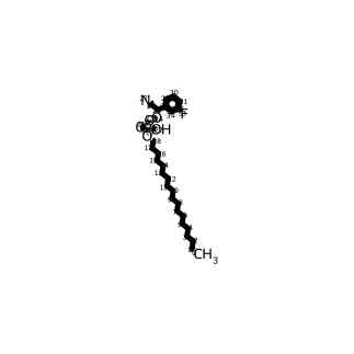 CCCCCCCCCCCCCCCCCCCOP(=O)(O)OOC(C#N)c1cccc(F)c1